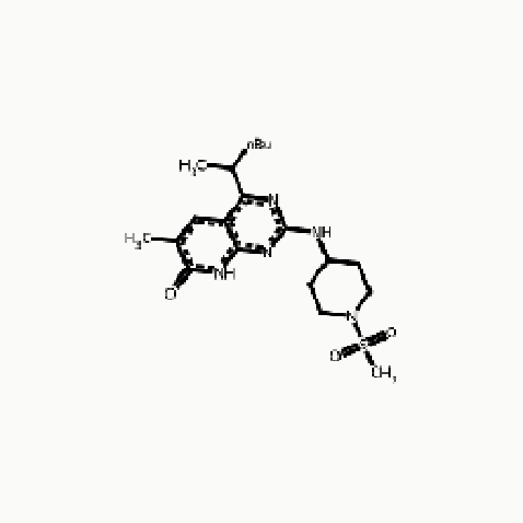 CCCCC(C)c1nc(NC2CCN(S(C)(=O)=O)CC2)nc2[nH]c(=O)c(C)cc12